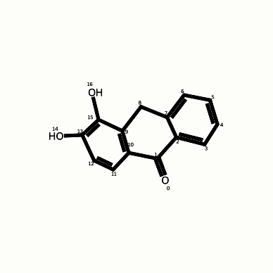 O=C1c2ccccc2Cc2c1ccc(O)c2O